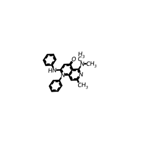 Cc1cc2c(c(N(C)C)n1)c(=O)cc(Nc1ccccc1)n2-c1ccccc1